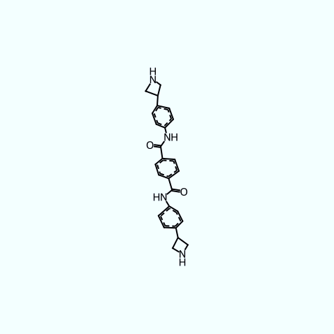 O=C(Nc1ccc(C2CNC2)cc1)c1ccc(C(=O)Nc2ccc(C3CNC3)cc2)cc1